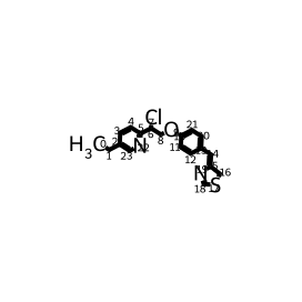 CCc1ccc(C(Cl)COc2ccc(C=C3CSC=N3)cc2)nc1